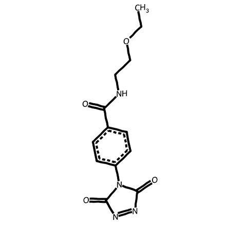 CCOCCNC(=O)c1ccc(N2C(=O)N=NC2=O)cc1